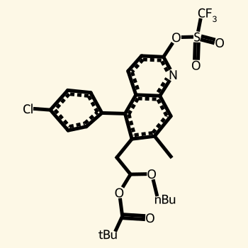 CCCCOC(Cc1c(C)cc2nc(OS(=O)(=O)C(F)(F)F)ccc2c1-c1ccc(Cl)cc1)OC(=O)C(C)(C)C